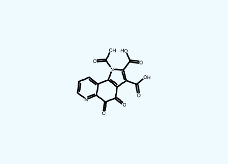 O=C1C(=O)c2c(C(=O)O)c(C(=O)O)n(C(=O)O)c2-c2cccnc21